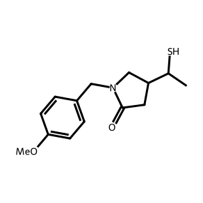 COc1ccc(CN2CC(C(C)S)CC2=O)cc1